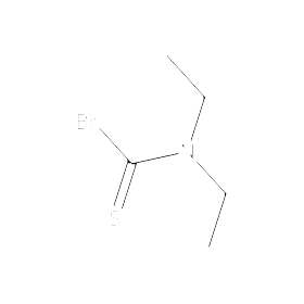 CCN(CC)C(=S)Br